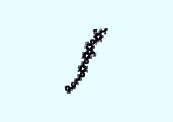 CCCc1ccc(COc2ccc3c(c2)C(C)c2cc(OCc4ccc(OCCCCOCC5CO5)cc4)ccc2-3)cc1F